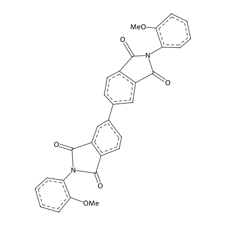 COc1ccccc1N1C(=O)c2ccc(-c3ccc4c(c3)C(=O)N(c3ccccc3OC)C4=O)cc2C1=O